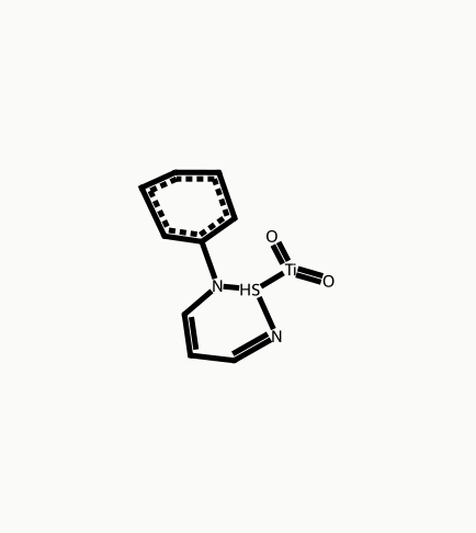 [O]=[Ti](=[O])[SH]1N=CC=CN1c1ccccc1